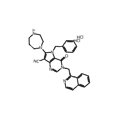 Cl.Cl.N#Cc1c(N2CCCNCC2)n(Cc2ccccc2)c2c(=O)n(Cc3nccc4ccccc34)cnc12